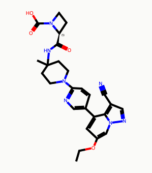 CCOc1cc(-c2ccc(N3CCC(C)(NC(=O)[C@@H]4CCN4C(=O)O)CC3)nc2)c2c(C#N)cnn2c1